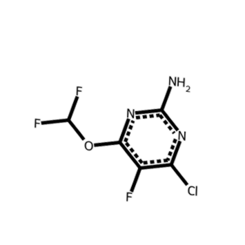 Nc1nc(Cl)c(F)c(OC(F)F)n1